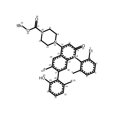 CCc1cccc(C)c1-n1c(=O)cc(N2CCN(C(=O)OC(C)(C)C)CC2)c2cc(F)c(-c3c(O)cccc3F)cc21